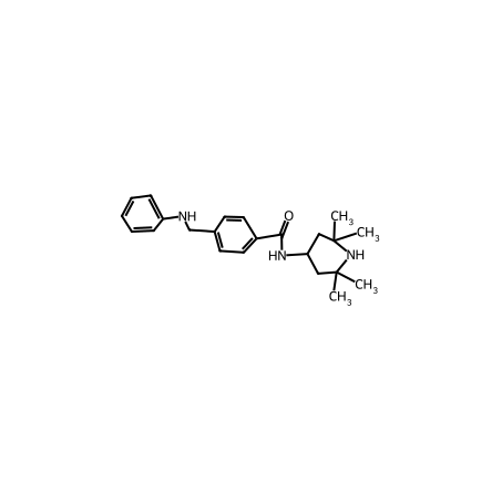 CC1(C)CC(NC(=O)c2ccc(CNc3ccccc3)cc2)CC(C)(C)N1